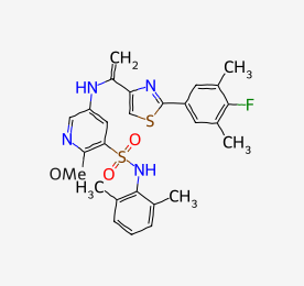 C=C(Nc1cnc(OC)c(S(=O)(=O)Nc2c(C)cccc2C)c1)c1csc(-c2cc(C)c(F)c(C)c2)n1